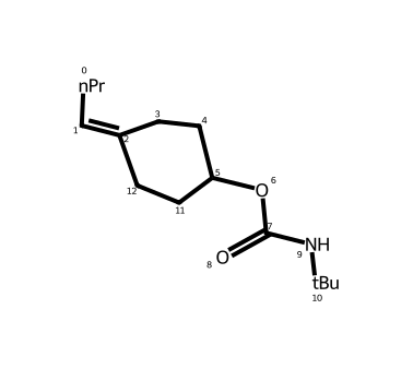 CCCC=C1CCC(OC(=O)NC(C)(C)C)CC1